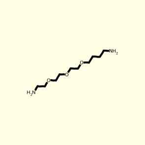 NCCCCOCCOCCOCCN